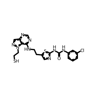 O=C(Nc1cccc(Cl)c1)Nc1ncc(CCNc2ncnc3cnn(CCS)c23)s1